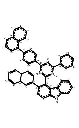 C1=CC2C=CC(c3ccc4oc5ccccc5c4c3-c3nc(-c4ccccc4)nc(-c4ccc(-c5cccc6ccccc56)cc4)n3)=CC2C=C1